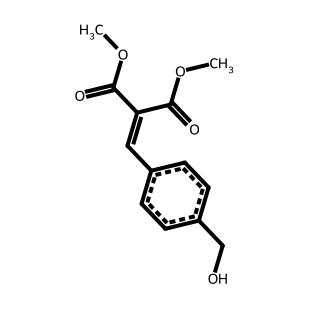 COC(=O)C(=Cc1ccc(CO)cc1)C(=O)OC